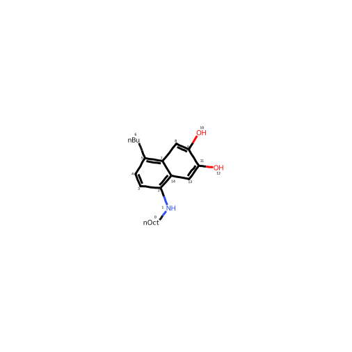 CCCCCCCCNc1ccc(CCCC)c2cc(O)c(O)cc12